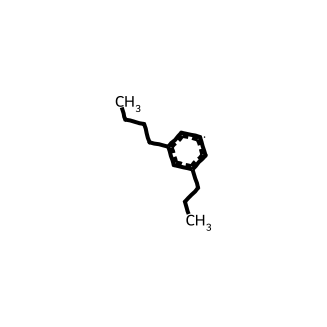 CCCCc1c[c]cc(CCC)c1